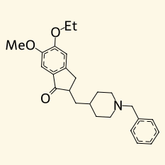 CCOc1cc2c(cc1OC)C(=O)C(CC1CCN(Cc3ccccc3)CC1)C2